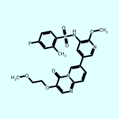 COCCOc1cnc2ccc(-c3cnc(OC)c(NS(=O)(=O)c4ccc(F)cc4C)c3)cn2c1=O